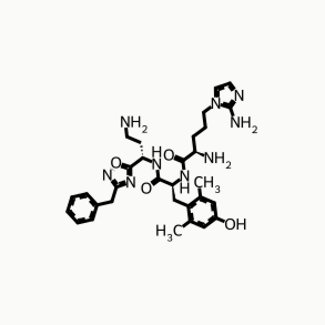 Cc1cc(O)cc(C)c1C[C@H](NC(=O)[C@H](N)CCCn1ccnc1N)C(=O)N[C@@H](CCN)c1nc(Cc2ccccc2)no1